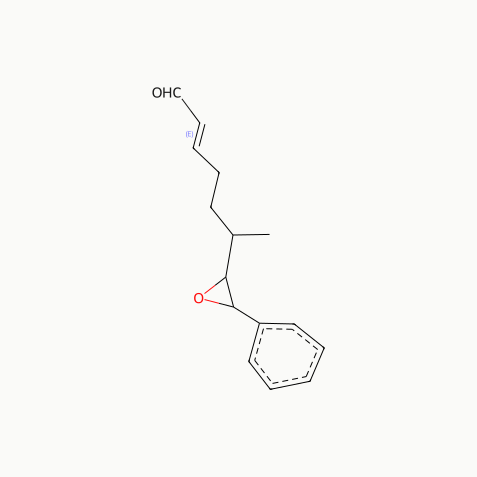 CC(CC/C=C/C=O)C1OC1c1ccccc1